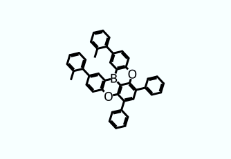 Cc1ccccc1-c1ccc2c(c1)B1c3cc(-c4ccccc4C)ccc3Oc3c(-c4ccccc4)cc(-c4ccccc4)c(c31)O2